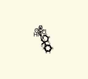 CC1(c2ccccc2)CCCN(NS(=O)(=O)Cl)C1